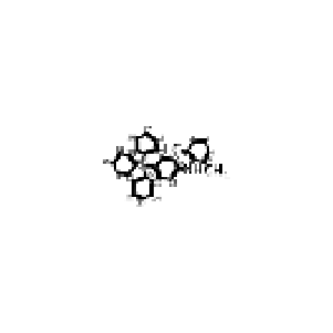 Cc1cccc(C)c1Nc1ccc(S(c2ccccc2)(c2ccccc2)c2ccccc2)cc1